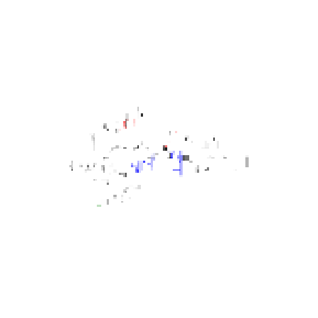 CCCCOc1cccc(OC)c1-c1cc(C(=O)N[C@H](CC(=O)O)CC(C)C)nn1-c1ccc(F)cc1